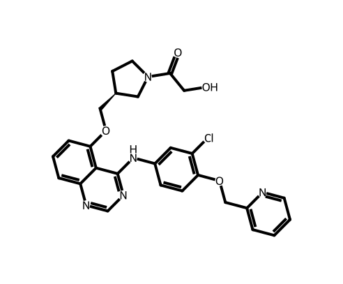 O=C(CO)N1CC[C@H](COc2cccc3ncnc(Nc4ccc(OCc5ccccn5)c(Cl)c4)c23)C1